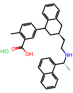 Cc1ccc(C2C[C@H](CCN[C@H](C)c3cccc4ccccc34)Cc3ccccc32)cc1C(=O)O.Cl